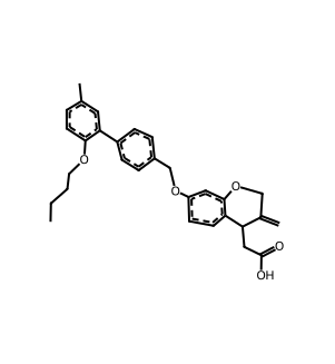 C=C1COc2cc(OCc3ccc(-c4cc(C)ccc4OCCCC)cc3)ccc2C1CC(=O)O